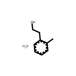 Cc1ccccc1CCO.O